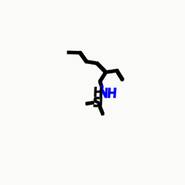 CCCCC(CC)CN[SiH](C)C